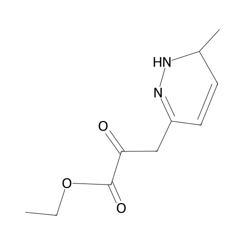 CCOC(=O)C(=O)CC1=NNC(C)C=C1